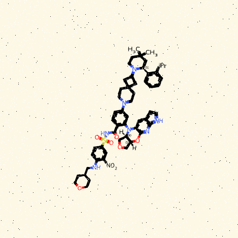 CC(C)c1ccccc1[C@@H]1CC(C)(C)CCN1C1CC2(CCN(c3ccc(C(=O)NS(=O)(=O)c4ccc(NCC5CCOCC5)c([N+](=O)[O-])c4)c(N4c5cc6cc[nH]c6nc5O[C@@H]5COC[C@H]54)c3)CC2)C1